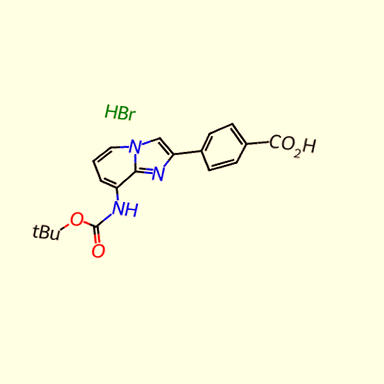 Br.CC(C)(C)OC(=O)Nc1cccn2cc(-c3ccc(C(=O)O)cc3)nc12